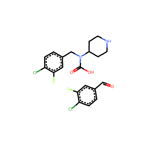 O=C(O)N(Cc1ccc(Cl)c(F)c1)C1CCNCC1.O=Cc1ccc(Cl)c(F)c1